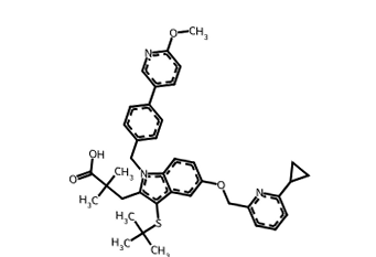 COc1ccc(-c2ccc(Cn3c(CC(C)(C)C(=O)O)c(SC(C)(C)C)c4cc(OCc5cccc(C6CC6)n5)ccc43)cc2)cn1